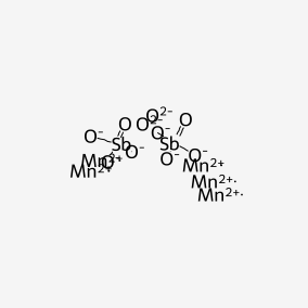 [Mn+2].[Mn+2].[Mn+2].[Mn+2].[Mn+2].[O-2].[O-2].[O]=[Sb]([O-])([O-])[O-].[O]=[Sb]([O-])([O-])[O-]